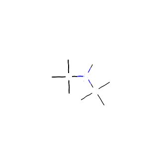 C[Si](C)(C)N([Si](C)(C)C)S(=O)(=O)O